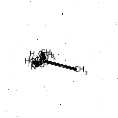 CCCCCCCCCCCCCCCCCCN(C(=O)OC(C)(C)C)[C@H](C)C(=O)N(CC#N)[C@@H](C)C(=O)O